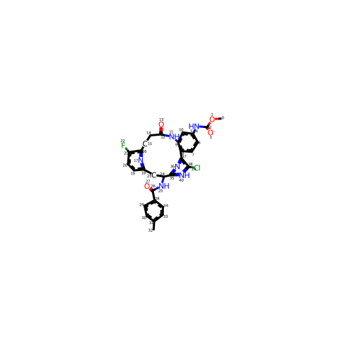 COC(=O)Nc1ccc2c(c1)NC(=O)CCc1nc(ccc1F)CC(NC(=O)c1ccc(C)cc1)c1nc-2c(Cl)[nH]1